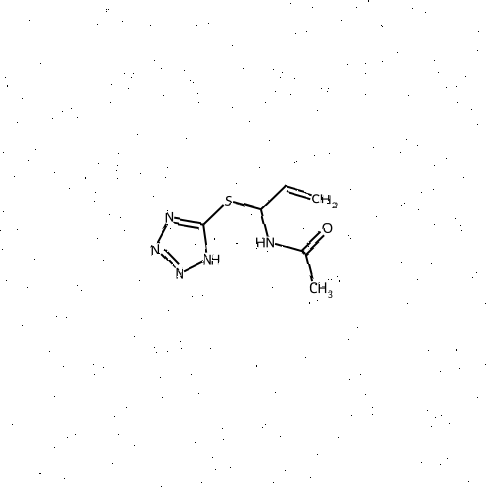 C=CC(NC(C)=O)Sc1nnn[nH]1